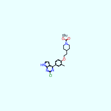 Cc1cc(-c2nc(Cl)nc3[nH]ccc23)ccc1OCCC1CCN(C(=O)OC(C)(C)C)CC1